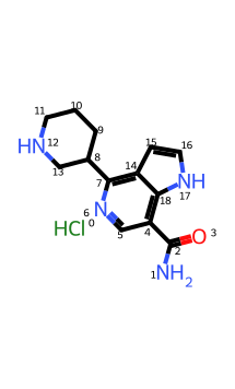 Cl.NC(=O)c1cnc(C2CCCNC2)c2cc[nH]c12